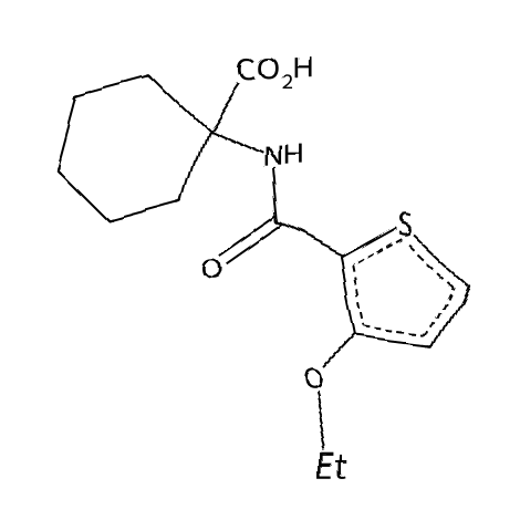 CCOc1ccsc1C(=O)NC1(C(=O)O)CCCCC1